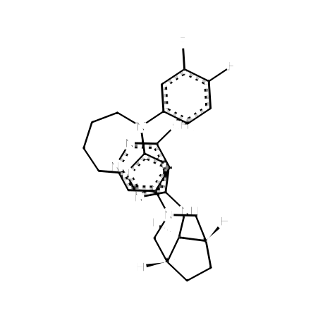 Cc1cc(N2C[C@H]3CC[C@@H](C2)[C@@H]3Nc2nc3n(n2)CCCCN3c2ccc(F)c(F)c2)cnn1